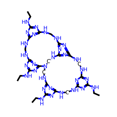 CCNc1nc2nc(n1)NCNc1nc3nc(n1)NCN(CNc1nc(NCC)nc(n1)NCN2)c1nc(NCC)nc(n1)NCNc1nc(NCC)nc(n1)NCN3